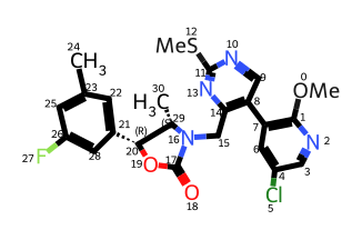 COc1ncc(Cl)cc1-c1cnc(SC)nc1CN1C(=O)O[C@H](c2cc(C)cc(F)c2)[C@@H]1C